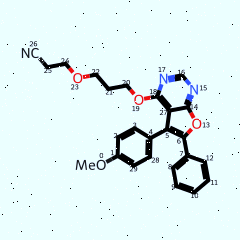 COc1ccc(-c2c(-c3ccccc3)oc3ncnc(OCCCOCCC#N)c23)cc1